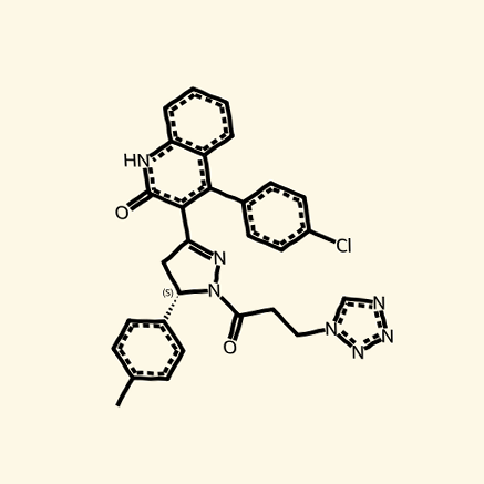 Cc1ccc([C@@H]2CC(c3c(-c4ccc(Cl)cc4)c4ccccc4[nH]c3=O)=NN2C(=O)CCn2cnnn2)cc1